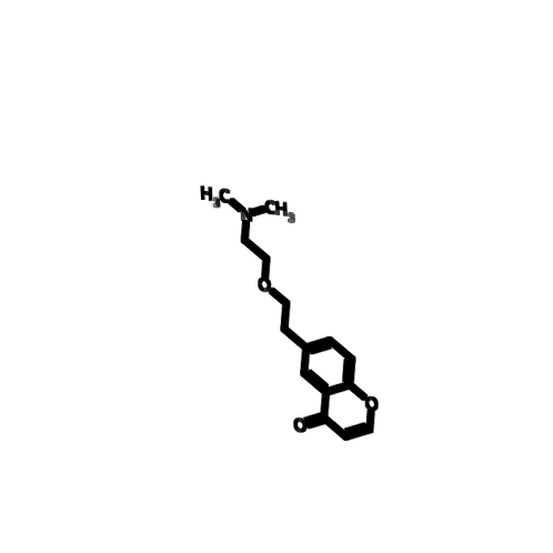 CN(C)CCOCCc1ccc2occc(=O)c2c1